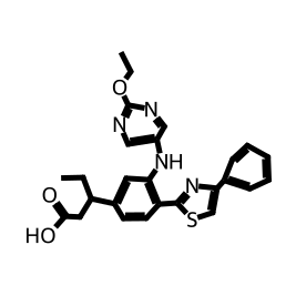 CCOc1ncc(Nc2cc(C(CC)CC(=O)O)ccc2-c2nc(-c3ccccc3)cs2)cn1